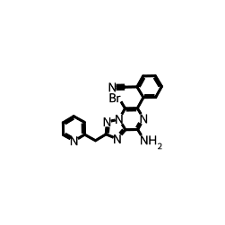 N#Cc1ccccc1-c1nc(N)c2nc(Cc3ccccn3)nn2c1Br